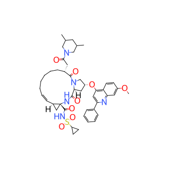 COc1ccc2c(O[C@@H]3C[C@H]4C(=O)N[C@]5(C(=O)NS(=O)(=O)C6CC6)C[C@H]5/C=C\CCCCC[C@H](CC(=O)N5CC(C)CC(C)C5)C(=O)N4C3)cc(-c3ccccc3)nc2c1